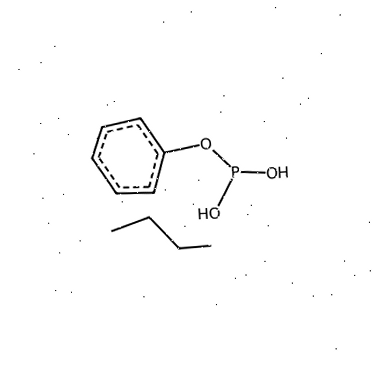 CCCC.OP(O)Oc1ccccc1